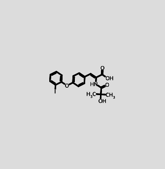 CC(C)(O)C(=O)NC(=Cc1ccc(Oc2ccccc2I)cc1)C(=O)O